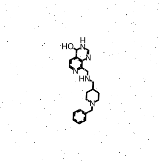 OC1NC=Nc2c1ccnc2CNCC1CCN(Cc2ccccc2)CC1